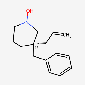 C=CC[C@]1(Cc2ccccc2)CCCN(O)C1